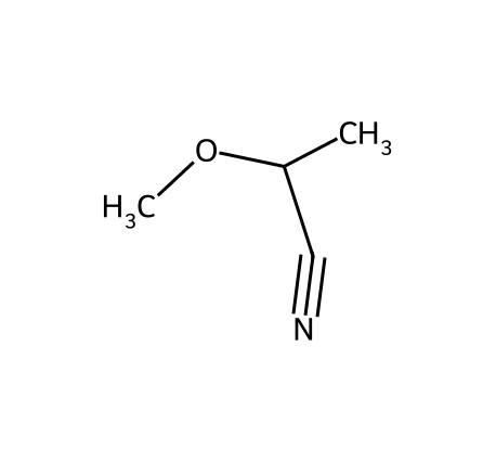 COC(C)C#N